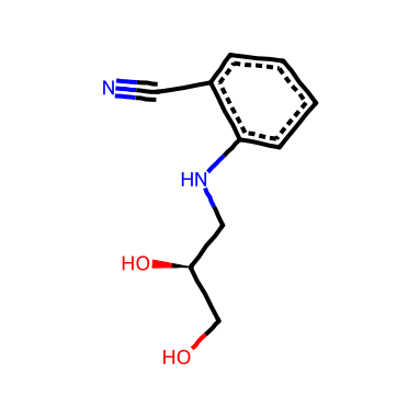 N#Cc1ccccc1NC[C@H](O)CO